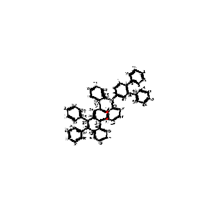 c1ccc(-c2ccc(N(c3ccccc3)c3ccccc3-c3ccc4c(c3)c(-c3ccccc3)c(-c3ccccc3)c3ccccc34)cc2-c2ccccc2)cc1